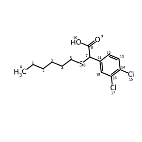 CCCCCCSC(C(=O)O)c1ccc(Cl)c(Cl)c1